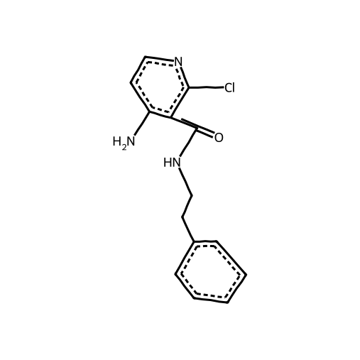 Nc1ccnc(Cl)c1C(=O)NCCc1ccccc1